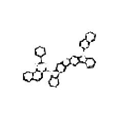 c1ccc(-c2nc(-n3c4ccccc4c4cc5c(cc43)sc3cc4c(cc35)c3ccccc3n4-c3ccc4ccccc4c3)c3ccc4ccccc4c3n2)cc1